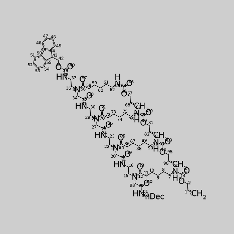 C=CCOC(=O)NCCCCCC(=O)N(CCNC(=O)CN(CCNC(=O)CN(CCNC(=O)CN(CCNC(=O)OCC1c2ccccc2-c2ccccc21)C(=O)CCCCCNC(=O)OCC=C)C(=O)CCCCCNC(=O)OCC=C)C(=O)CCCCCNC(=O)OCC=C)CC(=O)NCCCCCCCCCC